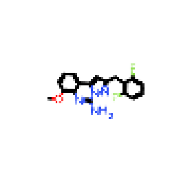 COc1cccc2c1nc(N)n1nc(Cc3c(F)cccc3F)cc21